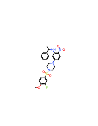 COc1ccc(S(=O)(=O)N2CCN(c3ccc([N+](=O)[O-])c(NC(C)c4ccccc4)c3)CC2)cc1F